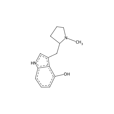 CN1CCCC1Cc1c[nH]c2cccc(O)c12